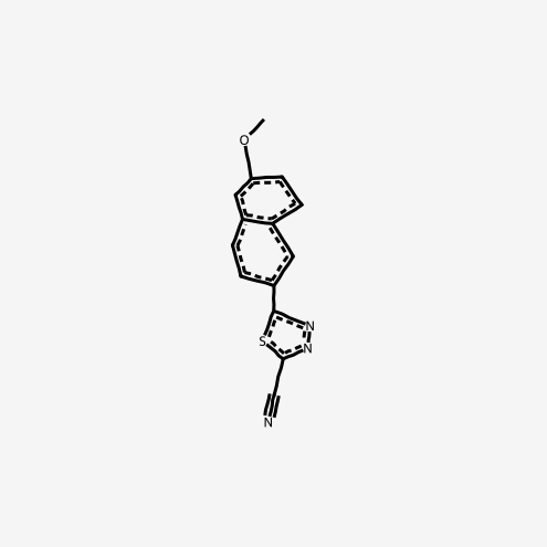 COc1ccc2cc(-c3nnc(C#N)s3)ccc2c1